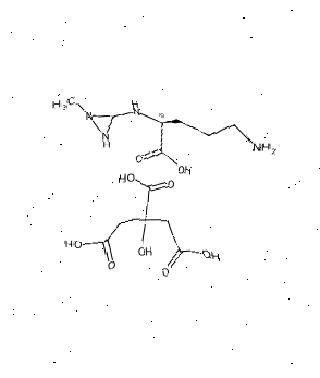 CN1NC1N[C@@H](CCCN)C(=O)O.O=C(O)CC(O)(CC(=O)O)C(=O)O